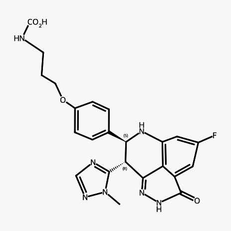 Cn1ncnc1[C@H]1c2n[nH]c(=O)c3cc(F)cc(c23)N[C@@H]1c1ccc(OCCCNC(=O)O)cc1